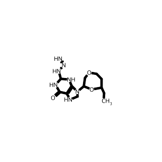 CCC1CCOCC(N2CNC3=C2NC(NN=N)NC3=O)O1